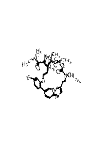 Cc1c(CCOc2cc(F)ccc2-c2ccc3ncc(CCN(C)C(=O)OC(C)(C)C)n3c2)c(C(=O)N(C)C)nn1C